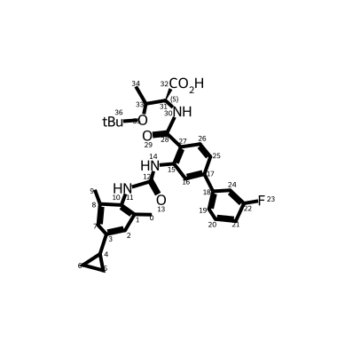 Cc1cc(C2CC2)cc(C)c1NC(=O)Nc1cc(-c2cccc(F)c2)ccc1C(=O)N[C@H](C(=O)O)C(C)OC(C)(C)C